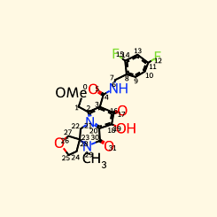 COCc1c(C(=O)NCc2ccc(F)cc2F)c(=O)c(O)c2n1CC1(CCOC1)N(C)C2=O